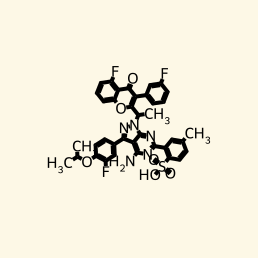 Cc1ccc(S(=O)(=O)O)c(-c2nc(N)c3c(-c4ccc(OC(C)C)c(F)c4)nn(C(C)c4oc5cccc(F)c5c(=O)c4-c4cccc(F)c4)c3n2)c1